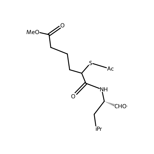 COC(=O)CCCC(SC(C)=O)C(=O)N[C@H]([C]=O)CC(C)C